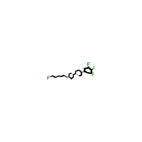 FCCCC=CC[C@H]1CC[C@H]([C@H]2CC[C@H](c3cc(F)c(F)c(F)c3)CC2)CC1